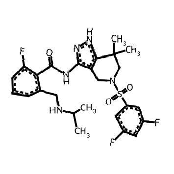 CC(C)NCc1cccc(F)c1C(=O)Nc1n[nH]c2c1CN(S(=O)(=O)c1cc(F)cc(F)c1)CC2(C)C